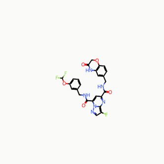 O=C1COc2ccc(CNC(=O)c3cc(C(=O)NCc4cccc(OC(F)F)c4)n4ncc(F)c4n3)cc2N1